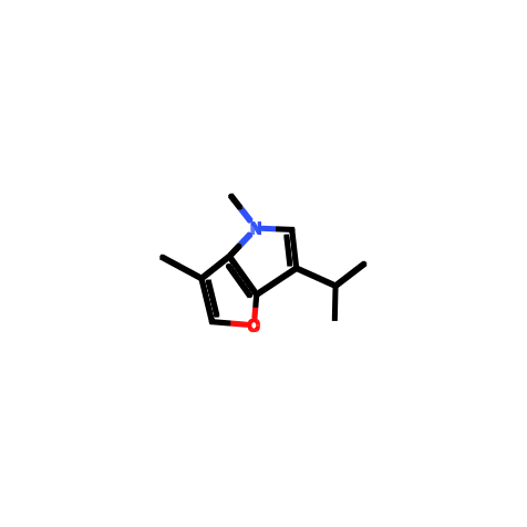 Cc1coc2c(C(C)C)cn(C)c12